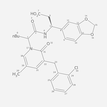 CCCCC(C(=O)N[C@@H](CC(=O)O)c1ccc2c(c1)OCO2)n1cc(C)cc(Cc2ccccc2Cl)c1=O